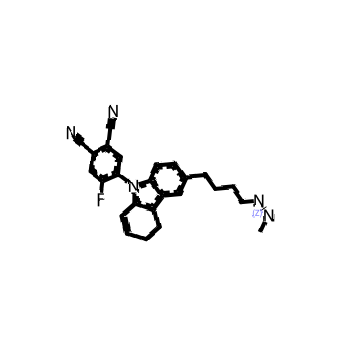 C/N=N\CCCCc1ccc2c(c1)c1c(n2-c2cc(C#N)c(C#N)cc2F)C=CCC1